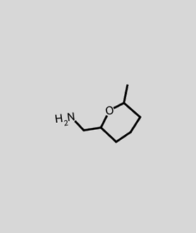 CC1CCCC(CN)O1